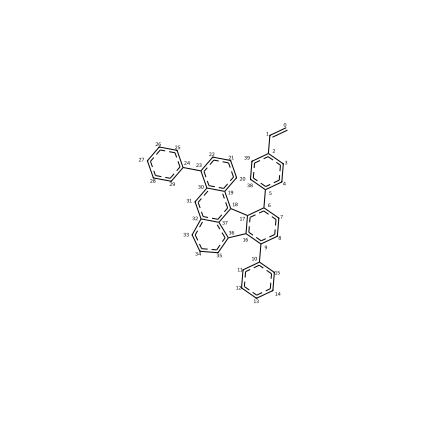 C=Cc1ccc(-c2ccc(-c3ccccc3)c3c2-c2c4cccc(-c5ccccc5)c4cc4cccc-3c24)cc1